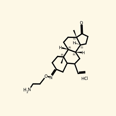 C=CC1C[C@@H]2[C@@H](CC[C@]3(C)C(=O)CC[C@@H]23)[C@@]2(C)CCC(=NOCCN)CC12.Cl